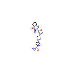 CNC(=O)c1ccc(N2CCC(N3CCOC(c4nc5ccccc5c(=O)[nH]4)C3)CC2)cn1